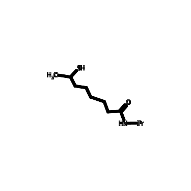 CC(S)CCCCCC(=O)NC(C)C